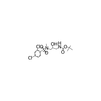 CN(CC(O)CNC(=O)OC(C)(C)C)S(=O)(=O)c1ccc(Cl)cc1Cl